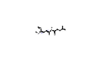 C=N/C(=C\C=C(/C)NC(=O)CCC(C)C)SC